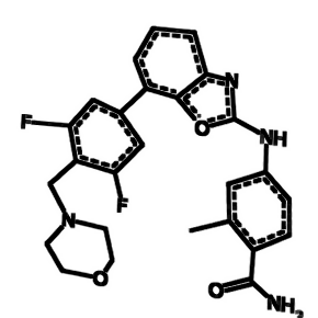 Cc1cc(Nc2nc3cccc(-c4cc(F)c(CN5CCOCC5)c(F)c4)c3o2)ccc1C(N)=O